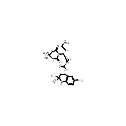 CC[C@]1(C)CC(=O)N([C@H](CCOC)[C@@H]2C[C@H]2C(=O)N[C@H]2CC(C)(C)Oc3ccc(C)cc32)C(=N)N1